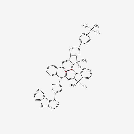 CC(C)(C)c1ccc(-c2ccc3c(c2)C(C)(C)c2ccc(-c4ccccc4N(c4ccc(-c5cccc6oc7ccccc7c56)cc4)c4ccc5c(c4)C(C)(C)c4ccccc4-5)cc2-3)cc1